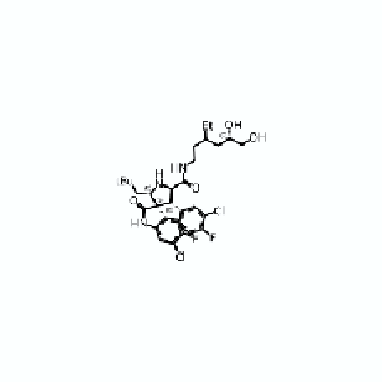 CCC(CCNC(=O)C1N[C@H](CC(C)(C)C)[C@]2(C(=O)Nc3cc(Cl)c(F)cc32)[C@H]1c1ccc(F)c(Cl)c1)C[C@@H](O)CO